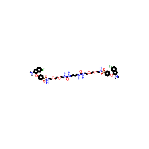 CN(C)[C@H]1Cc2ccc(F)cc2[C@@H]1Oc1ccc(S(=O)(=O)NCCOCCOCCNC(=O)NCCCCNC(=O)NCCOCCOCCNS(=O)(=O)c2ccc(O[C@H]3c4cc(F)ccc4C[C@@H]3N(C)C)cc2)cc1